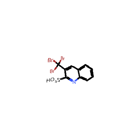 O=S(=O)(O)c1nc2ccccc2cc1C(Br)(Br)Br